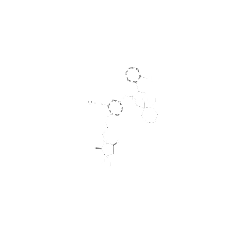 COc1cc(CN(CC2(C(=O)O)CCCCC2)C(C)c2ccccc2Cl)ccc1OCCN1C(=O)CN(C)C1=O